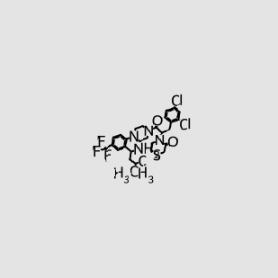 CC(C)CC(N)c1cc(C(F)(F)F)ccc1N1CCN(C(=O)C(Cc2ccc(Cl)cc2Cl)N2CCSCC2=O)CC1